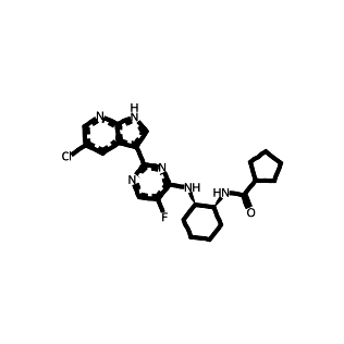 O=C(N[C@H]1CCCC[C@H]1Nc1nc(-c2c[nH]c3ncc(Cl)cc23)ncc1F)C1CCCC1